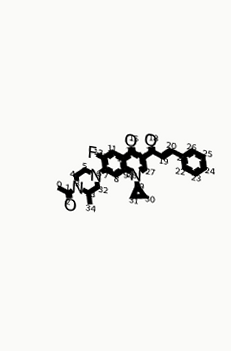 CC(=O)N1CCN(c2cc3c(cc2F)c(=O)c(C(=O)/C=C/c2ccccc2)cn3C2CC2)CC1C